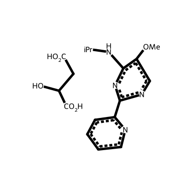 COc1cnc(-c2ccccn2)nc1NC(C)C.O=C(O)CC(O)C(=O)O